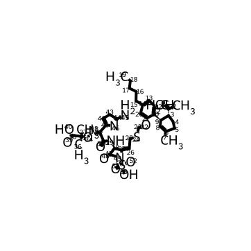 C=C(C)[C@@H]1CCC(C)=C[C@H]1c1c(O)cc(CCCCC)cc1OCSC/C=C1\[C@H](NC(=O)/C(=N\OC(C)(C)C(=O)O)C2=CCC(N)=N2)C(=O)N1S(=O)(=O)O